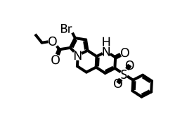 CCOC(=O)c1c(Br)cc2n1CCc1cc(S(=O)(=O)c3ccccc3)c(=O)[nH]c1-2